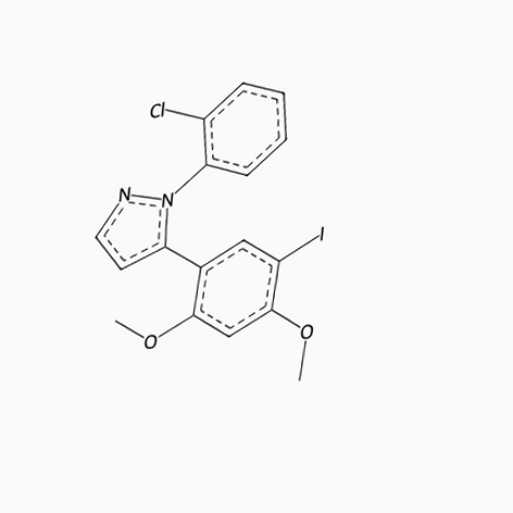 COc1cc(OC)c(-c2ccnn2-c2ccccc2Cl)cc1I